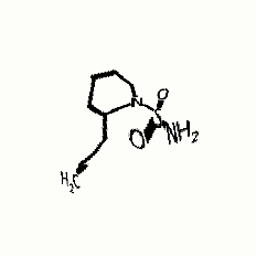 C=CCC1CCCCN1S(N)(=O)=O